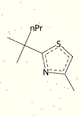 CCCC(C)(C)c1nc(C)cs1